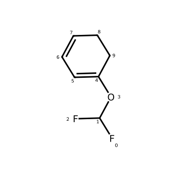 FC(F)OC1=CC=CCC1